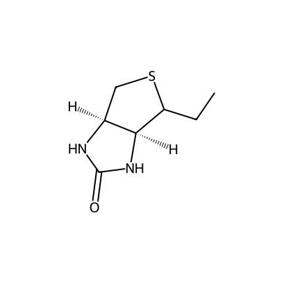 CCC1SC[C@@H]2NC(=O)N[C@H]12